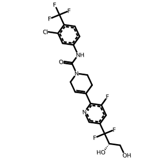 O=C(Nc1ccc(C(F)(F)F)c(Cl)c1)N1CC=C(c2ncc(C(F)(F)[C@@H](O)CO)cc2F)CC1